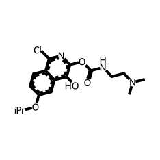 CC(C)Oc1ccc2c(Cl)nc(OC(=O)NCCN(C)C)c(O)c2c1